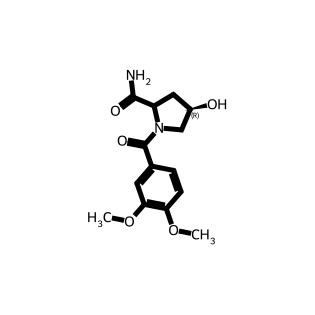 COc1ccc(C(=O)N2C[C@H](O)CC2C(N)=O)cc1OC